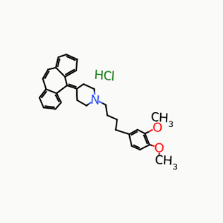 COc1ccc(CCCCN2CCC(=C3c4ccccc4C=Cc4ccccc43)CC2)cc1OC.Cl